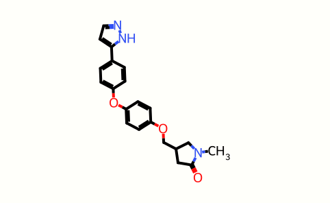 CN1CC(COc2ccc(Oc3ccc(-c4ccn[nH]4)cc3)cc2)CC1=O